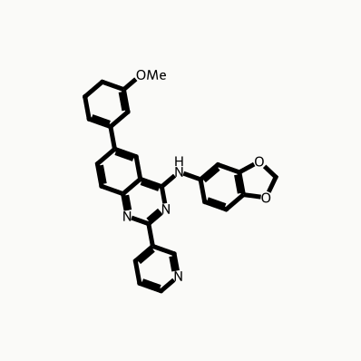 COC1=CC(c2ccc3nc(-c4cccnc4)nc(Nc4ccc5c(c4)OCO5)c3c2)=CCC1